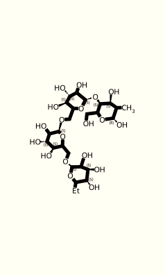 CCC1O[C@H](OCC2O[C@H](OCC3O[C@@H](O[C@@H]4C(CO)O[C@@H](O)C(C)[C@@H]4O)C(O)[C@@H](O)[C@@H]3O)C(O)[C@@H](O)[C@@H]2O)C(O)[C@@H](O)[C@@H]1O